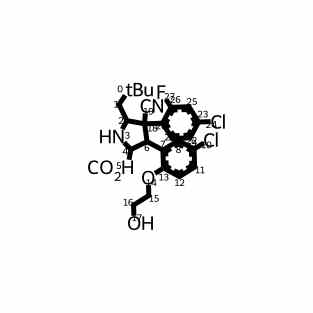 CC(C)(C)CC1NC(C(=O)O)C(c2cc(Cl)ccc2OCCO)C1(C#N)c1ccc(Cl)cc1F